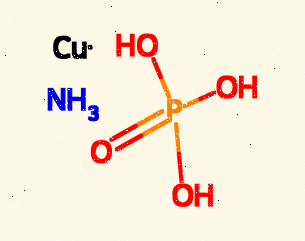 N.O=P(O)(O)O.[Cu]